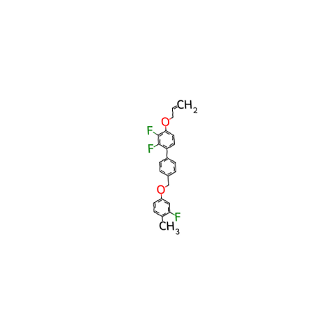 C=CCOc1ccc(-c2ccc(COc3ccc(C)c(F)c3)cc2)c(F)c1F